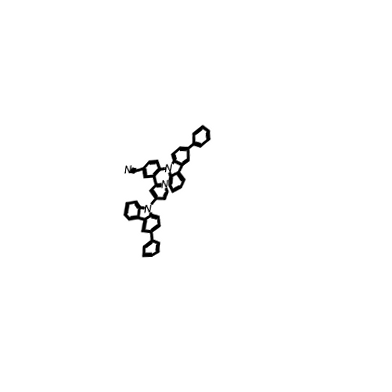 N#Cc1ccc(-n2c3ccccc3c3cc(-c4ccccc4)ccc32)c(-c2cc(-n3c4ccccc4c4cc(-c5ccccc5)ccc43)ccn2)c1